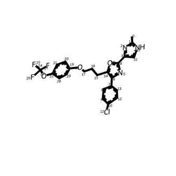 Cc1nc(-c2nc(-c3ccc(Cl)cc3)c(CCCOc3ccc(OC(F)(F)F)cc3)o2)c[nH]1